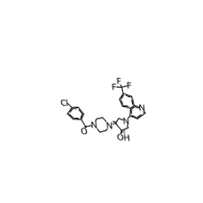 O=C(c1ccc(Cl)cc1)N1CCN([C@@H]2CN(c3ccnc4cc(C(F)(F)F)ccc34)C[C@H]2O)CC1